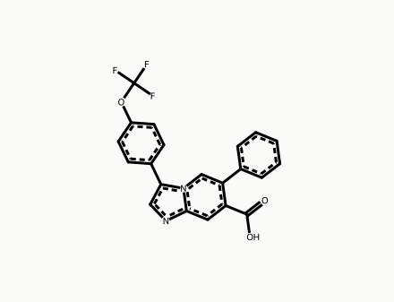 O=C(O)c1cc2ncc(-c3ccc(OC(F)(F)F)cc3)n2cc1-c1ccccc1